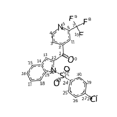 O=C(c1ccnc(C(F)(F)F)c1)c1cc2ccccc2n1S(=O)(=O)c1ccc(Cl)cc1